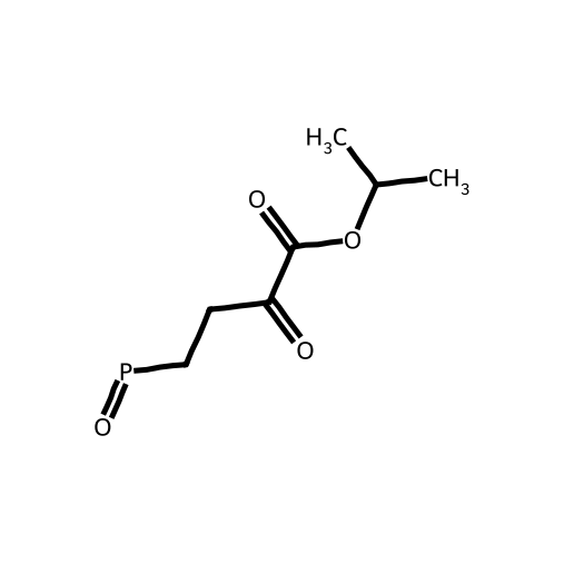 CC(C)OC(=O)C(=O)CCP=O